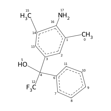 Cc1cc(C(O)(c2ccccc2)C(F)(F)F)cc(C)c1N